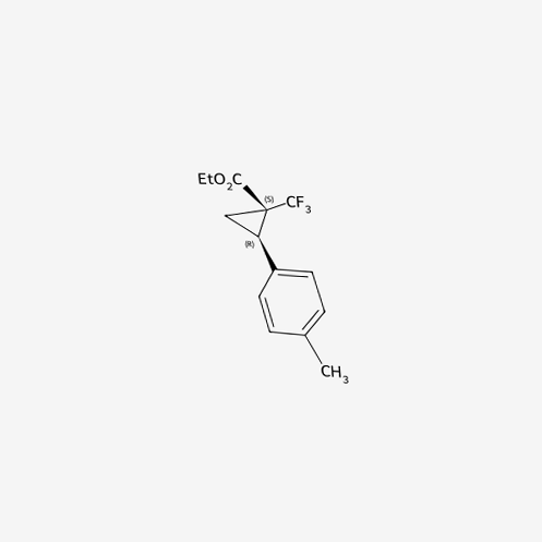 CCOC(=O)[C@]1(C(F)(F)F)C[C@@H]1c1ccc(C)cc1